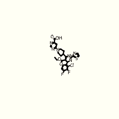 CCOC(=O)C1=C(C2CCN(c3cc(C(=O)O)ncn3)CC2)NC(c2nccs2)=NC1c1ccc(F)c(F)c1Cl